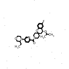 CCC1COCCN1c1ccc(C(=O)N2CCC3(CC2)C[C@@H](OC(C)C)c2cc(F)ccc2O3)nc1